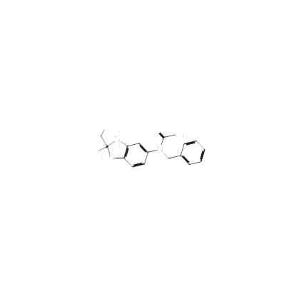 CCCC1(CC(=O)O)Nc2ccc(N(Cc3ccccc3)C(=O)C(C)C)cc2N1